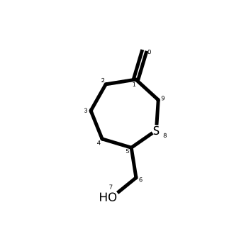 C=C1CCCC(CO)SC1